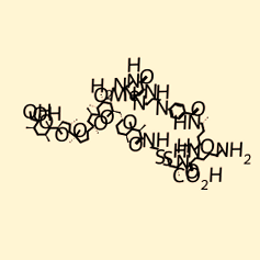 CO[C@@H]1C[C@@H](C[C@H]2CC[C@H](C)C([C@@H](C)C(=O)NCCSSC[C@H](NC(=O)C(CCCN)NC(=O)CC[C@@H](C)NC(=O)c3ccc(NCc4cnc5nc(N)[nH]c(=O)c5n4)cc3)C(=O)O)O2)O[C@]2(O[C@@](C)(C3CC[C@@](C)([C@@H]4O[C@@H]([C@@H]5O[C@@](O)(CO)[C@H](C)C[C@@H]5C)C[C@@H]4C)O3)C[C@H]2C)[C@@H]1C